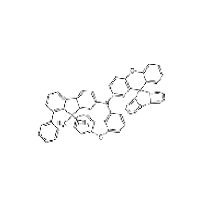 CC1(C)c2cc(N(c3ccc4c(c3)C3(c5ccccc5O4)c4ccccc4-c4ccccc43)c3cccc4oc5ccccc5c34)ccc2-c2cccc(-c3ccccc3)c21